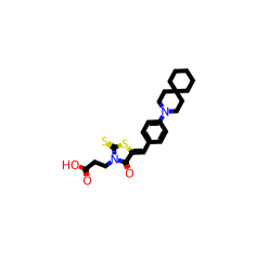 O=C(O)CCN1C(=O)C(=Cc2ccc(N3CCC4(CCCCC4)CC3)cc2)SC1=S